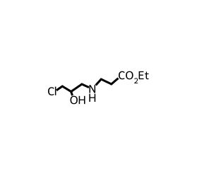 CCOC(=O)CCNCC(O)CCl